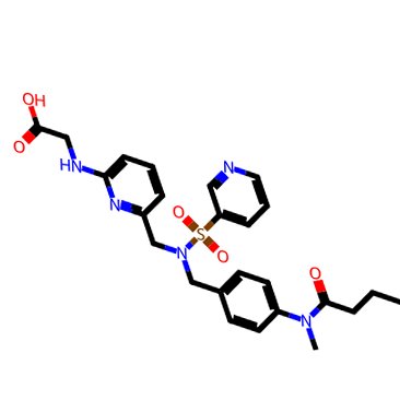 CCCC(=O)N(C)c1ccc(CN(Cc2cccc(NCC(=O)O)n2)S(=O)(=O)c2cccnc2)cc1